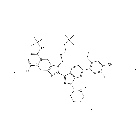 CCc1cc(O)c(F)cc1-c1ccc2c(-c3nc4c(n3COCC[Si](C)(C)C)CN(C(=O)OC(C)(C)C)[C@H](C(=O)O)C4)nn(C3CCCCO3)c2c1